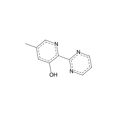 Cc1cnc(-c2ncccn2)c(O)c1